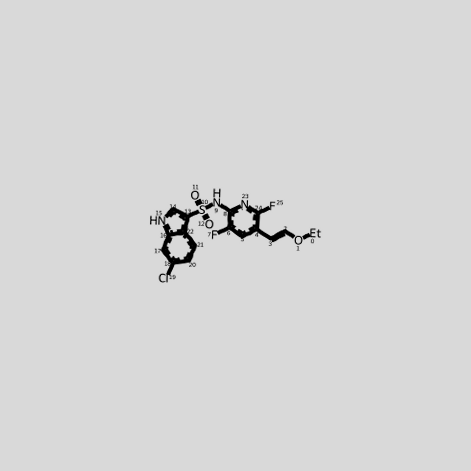 CCO/C=C/c1cc(F)c(NS(=O)(=O)c2c[nH]c3cc(Cl)ccc23)nc1F